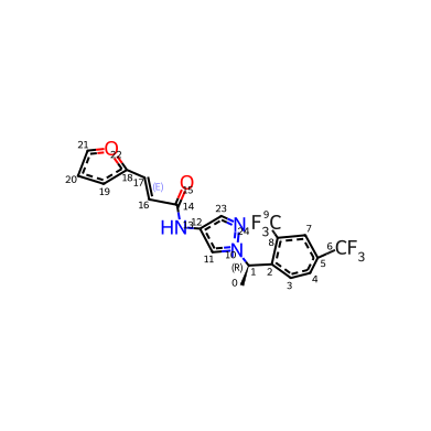 C[C@H](c1ccc(C(F)(F)F)cc1C(F)(F)F)n1cc(NC(=O)/C=C/c2ccco2)cn1